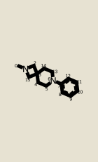 CN1CC2(CCN(c3cc[c]cc3)CC2)C1